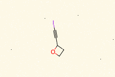 IC#CC1CCO1